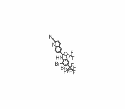 N#Cc1ccc2cc(C(=O)Nc3c(Br)cc(C(F)(C(F)(F)F)C(F)(F)Br)cc3OC(F)F)ccc2n1